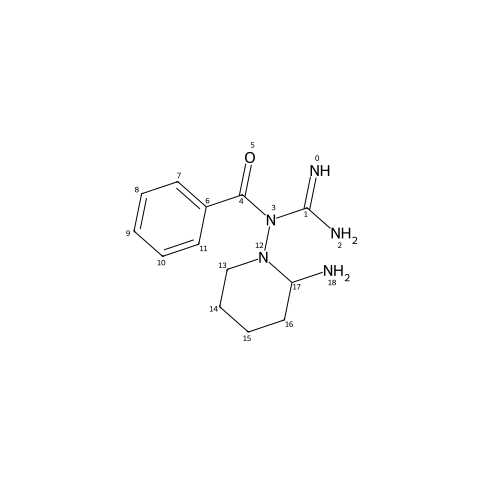 N=C(N)N(C(=O)c1ccccc1)N1CCCCC1N